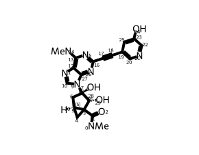 CNC(=O)C12C[C@H]1C[C@](O)(n1cnc3c(NC)nc(C#Cc4cncc(O)c4)nc31)[C@@H]2O